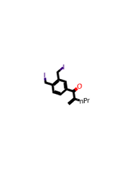 C=C(CCC)C(=O)c1ccc(CI)c(CI)c1